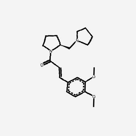 COc1ccc(/C=C/C(=O)N2CCC[C@H]2CN2CCCC2)cc1OC